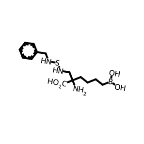 NC(CCCCB(O)O)(CNSNCc1ccccc1)C(=O)O